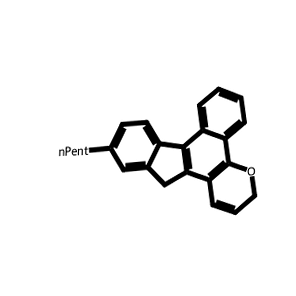 CCCCCc1ccc2c(c1)Cc1c3c(c4ccccc4c1-2)OCC=C3